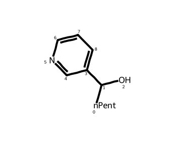 CCCCCC(O)c1[c]nccc1